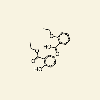 CCOC(=O)c1ccccc1O.CCOc1ccccc1C(=O)O